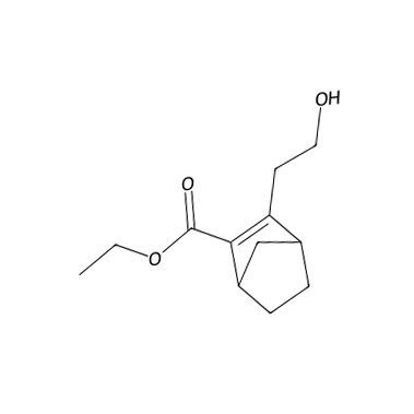 CCOC(=O)C1=C(CCO)C2CCC1C2